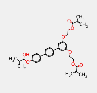 C=C(C)C(=O)OCCOc1cc(OCCOC(=O)C(=C)C)cc(-c2ccc(-c3ccc(OC(O)C(=C)C)cc3)cc2)c1